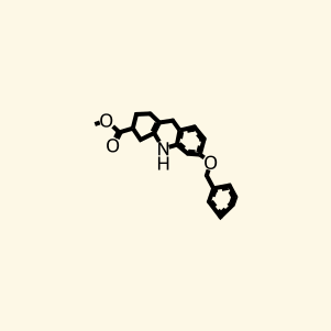 COC(=O)C1CCC2=C(C1)Nc1cc(OCc3ccccc3)ccc1C2